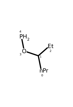 CCCC(CC)OP